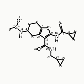 C[S+]([O-])NC1CCc2sc(NC(=O)C3CC3)c(C(=O)NCC3CC3)c2C1